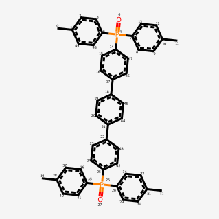 Cc1ccc(P(=O)(c2ccc(C)cc2)c2ccc(-c3ccc(-c4ccc(P(=O)(c5ccc(C)cc5)c5ccc(C)cc5)cc4)cc3)cc2)cc1